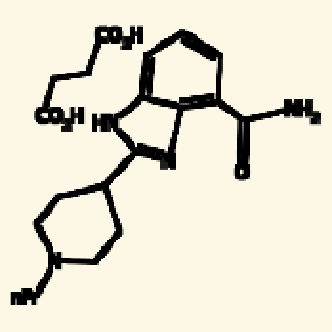 CCCN1CCC(c2nc3c(C(N)=O)cccc3[nH]2)CC1.O=C(O)CCC(=O)O